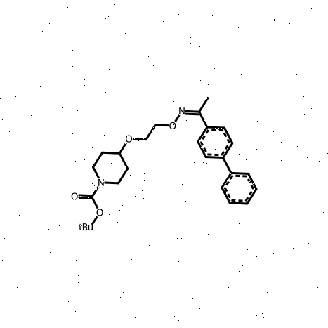 CC(=NOCCOC1CCN(C(=O)OC(C)(C)C)CC1)c1ccc(-c2ccccc2)cc1